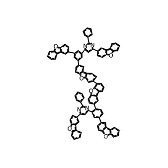 c1ccc(-c2nc(-c3cc(-c4ccc5oc6ccccc6c5c4)cc(-c4ccc5oc6cc(-c7cccc8c7oc7ccc(-c9ccc(-c%10ccc%11oc%12ccccc%12c%11c%10)cc9-c9cc(-c%10ccc%11oc%12ccccc%12c%11c%10)nc(-c%10ccccc%10)n9)cc78)ccc6c5c4)c3)cc(-c3ccc4oc5ccccc5c4c3)n2)cc1